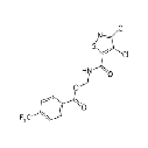 O=C(OCNC(=O)c1snc(Cl)c1Cl)c1ccc(C(F)(F)F)cc1